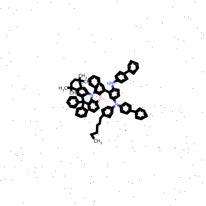 CCCCCCc1ccc(N(c2ccc(-c3ccccc3)cc2)c2ccc(Nc3ccc(-c4ccccc4)cc3)c(-c3cc4ccccc4c4c3Bc3cccc5c3N4c3cc4c(cc3C5(c3ccccc3)c3ccccc3)C(C)(C)CCC4(C)C)c2)cc1